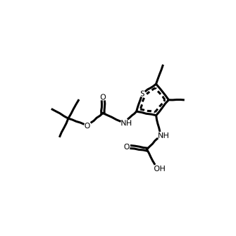 Cc1sc(NC(=O)OC(C)(C)C)c(NC(=O)O)c1C